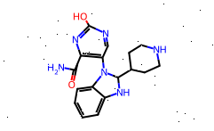 NC(=O)c1nc(O)ncc1N1c2ccccc2NC1C1CCNCC1